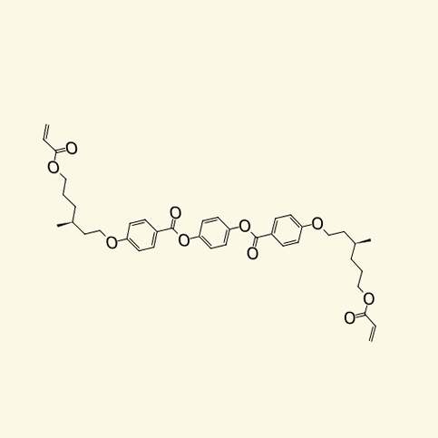 C=CC(=O)OCCC[C@H](C)CCOc1ccc(C(=O)Oc2ccc(OC(=O)c3ccc(OCC[C@@H](C)CCCOC(=O)C=C)cc3)cc2)cc1